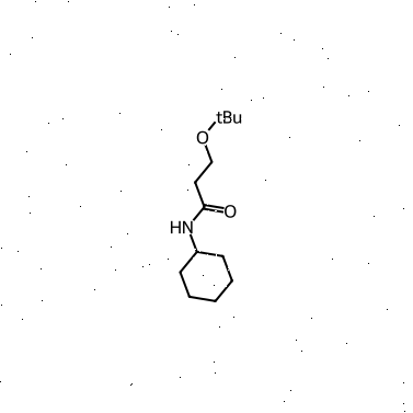 CC(C)(C)OCCC(=O)NC1CCCCC1